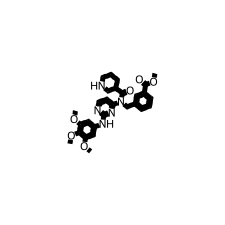 COC(=O)c1cccc(CN(C(=O)C2CCCNC2)c2ccnc(Nc3cc(OC)c(OC)c(OC)c3)n2)c1